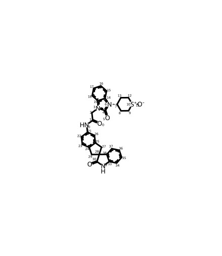 O=C(Cn1c(=O)n([C@H]2CC[S@@+]([O-])CC2)c2ccccc21)Nc1ccc2c(c1)CC1(C2)C(=O)Nc2ccccc21